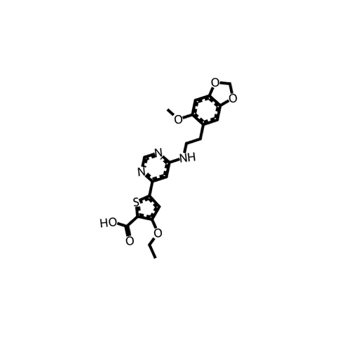 CCOc1cc(-c2cc(NCCc3cc4c(cc3OC)OCO4)ncn2)sc1C(=O)O